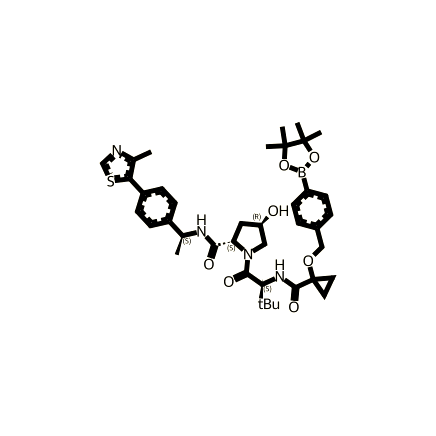 Cc1ncsc1-c1ccc([C@H](C)NC(=O)[C@@H]2C[C@@H](O)CN2C(=O)[C@@H](NC(=O)C2(OCc3ccc(B4OC(C)(C)C(C)(C)O4)cc3)CC2)C(C)(C)C)cc1